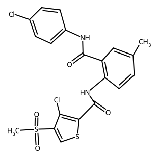 Cc1ccc(NC(=O)c2scc(S(C)(=O)=O)c2Cl)c(C(=O)Nc2ccc(Cl)cc2)c1